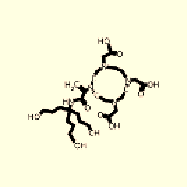 C=C(C(=O)NC(CCCO)(CCCO)CCCO)N1CCN(CC(=O)O)CCN(CC(=O)O)CCN(CC(=O)O)CC1